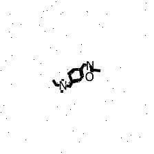 CC[N+](C)(C)Cc1ccc(CN(C)C(C)=O)cc1